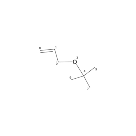 C=C[CH]OC(C)(C)C